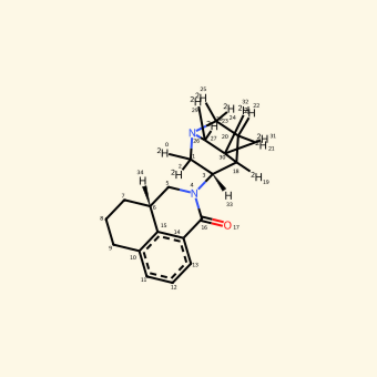 [2H]C1([2H])[C@@H](N2C[C@H]3CCCc4cccc(c43)C2=O)C2([2H])C([2H])([2H])C([2H])([2H])N1C([2H])([2H])C2([2H])[2H]